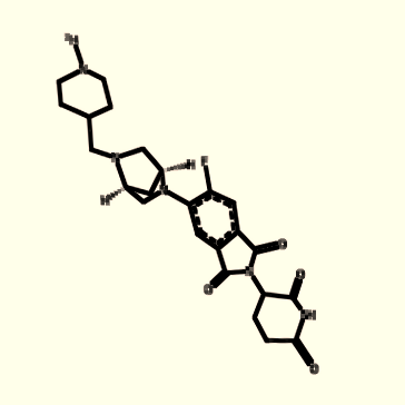 [2H]N1CCC(CN2C[C@@H]3C[C@H]2CN3c2cc3c(cc2F)C(=O)N(C2CCC(=O)NC2=O)C3=O)CC1